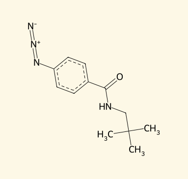 CC(C)(C)CNC(=O)c1ccc(N=[N+]=[N-])cc1